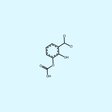 O=C(O)Oc1cccc(C(Cl)Cl)c1O